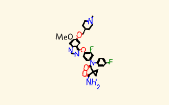 COc1cc2ncnc(Oc3ccc(N(C(=O)C4(C(N)=O)CC4)c4ccc(F)cc4)cc3F)c2cc1OCC1CCN(C)CC1